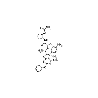 Cc1nc(Oc2ccccc2)ncc1C1(N)C(=O)C(N)C2c3c1ccc(N)c3SC2C(=O)N[C@H]1CCC[C@H]1OC(N)=O